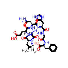 CC(C)C[C@H](NC(=O)[C@H](C)N)C(=O)N[C@@H](CCC(=O)O)C(=O)N[C@@H](CC(N)=O)C(=O)N[C@@H](Cc1c[nH]cn1)C(=O)NCC(=O)N[C@@H](Cc1ccccc1)C(=O)O